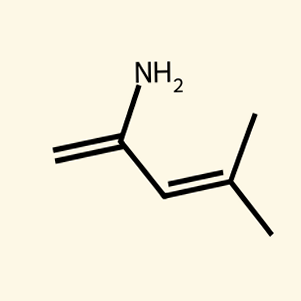 C=C(N)C=C(C)C